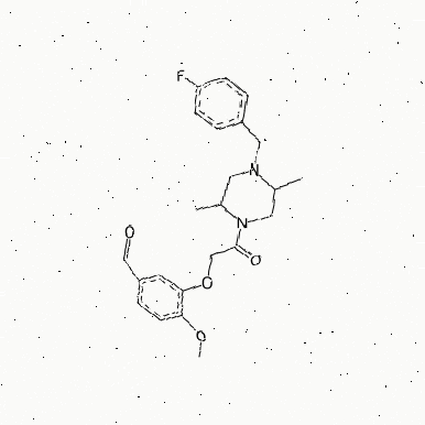 COc1ccc(C=O)cc1OCC(=O)N1CC(C)N(Cc2ccc(F)cc2)CC1C